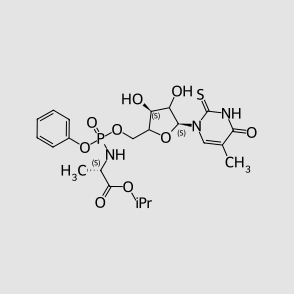 Cc1cn([C@H]2OC(COP(=O)(N[C@@H](C)C(=O)OC(C)C)Oc3ccccc3)[C@@H](O)C2O)c(=S)[nH]c1=O